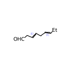 CC/C=C/C/C=C/CC=O